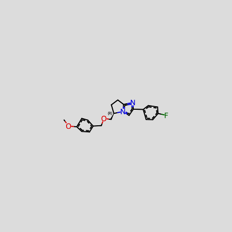 COc1ccc(COC[C@H]2CCc3nc(-c4ccc(F)cc4)cn32)cc1